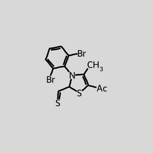 CC(=O)C1=C(C)N(c2c(Br)cccc2Br)C(C=S)S1